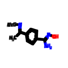 CO/N=C(\C)c1ccc(C(N)=NO)cc1